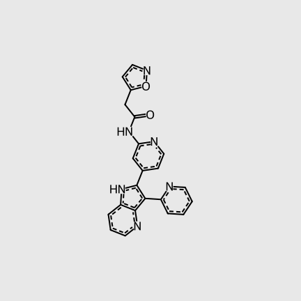 O=C(Cc1ccno1)Nc1cc(-c2[nH]c3cccnc3c2-c2ccccn2)ccn1